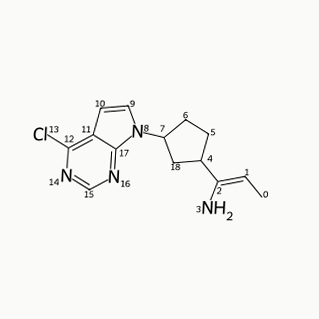 C/C=C(\N)C1CCC(n2ccc3c(Cl)ncnc32)C1